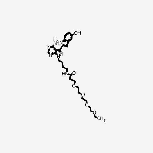 CCOCCOCCOCCOCCC(=O)NCCCCn1nc(-c2cc3cc(O)ccc3[nH]2)c2c(N)ncnc21